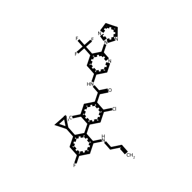 C=CCNc1cc(F)cc(C2CC2)c1-c1cc(Cl)c(C(=O)Nc2cnc(-n3nccn3)c(C(F)(F)F)c2)cc1C